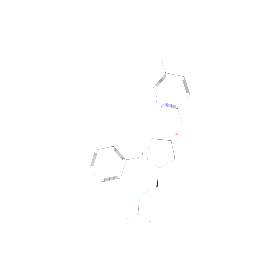 FC(F)OC[C@@H]1C[C@H](Oc2ccc(I)cn2)CN1c1ccccc1